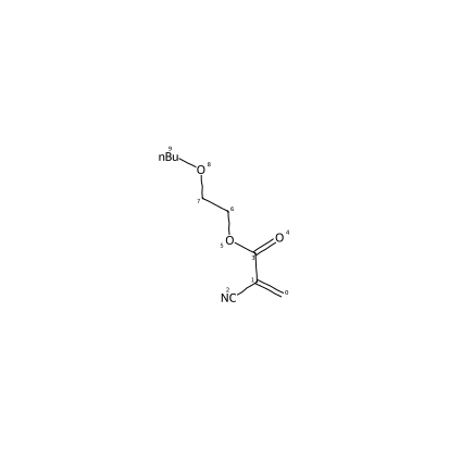 C=C(C#N)C(=O)OCCOCCCC